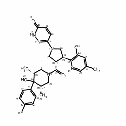 C[C@@H]1CN(C(=O)[C@@H]2CN(c3ccc(=O)[nH]n3)C[C@H]2c2ncc(Cl)cc2F)C[C@H](C)C1(O)c1ccc(F)cc1